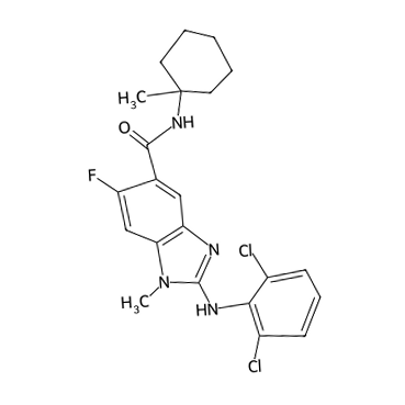 Cn1c(Nc2c(Cl)cccc2Cl)nc2cc(C(=O)NC3(C)CCCCC3)c(F)cc21